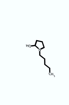 CCCCCN1CCCC1O